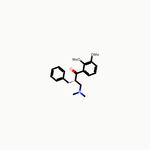 COc1cccc(C(=O)[C@@H](Cc2ccccc2)CN(C)C)c1OC